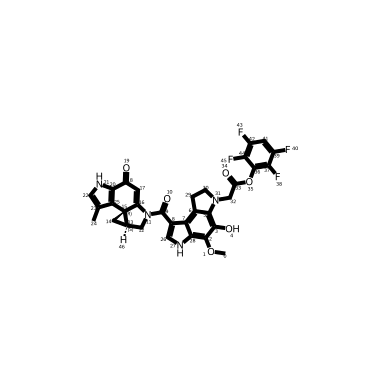 COc1c(O)c2c(c3c(C(=O)N4C[C@H]5C[C@@]56C4=CC(=O)c4[nH]cc(C)c46)c[nH]c13)CCN2CC(=O)Oc1c(F)c(F)cc(F)c1F